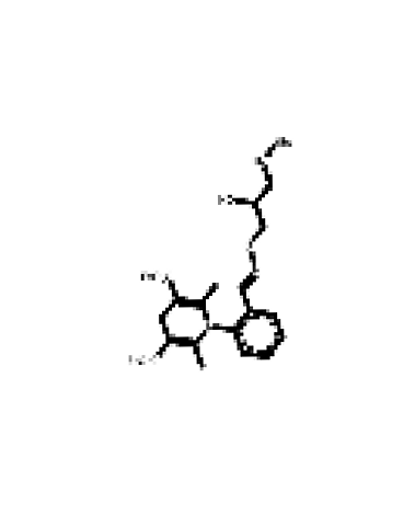 CCOC(=O)C1=C(C)N(c2ccccc2C=NOCC(O)CNC(C)(C)C)C(C)=C(C(=O)OCC)C1